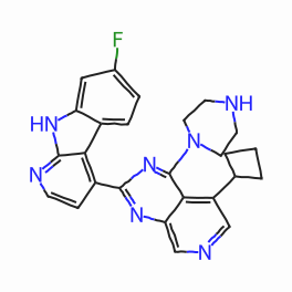 Fc1ccc2c(c1)[nH]c1nccc(-c3nc(N4CCNCC4)c4c(C5CCC5)cncc4n3)c12